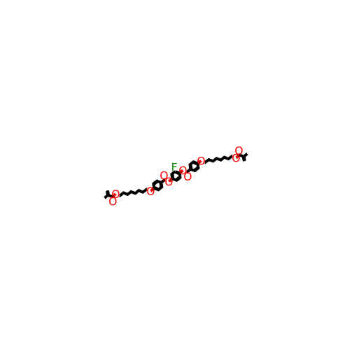 C=C(C)C(=O)OCCCCCCCCOc1ccc(C(=O)Oc2ccc(OC(=O)c3ccc(OCCCCCCCCOC(=O)C(=C)C)cc3)c(F)c2)cc1